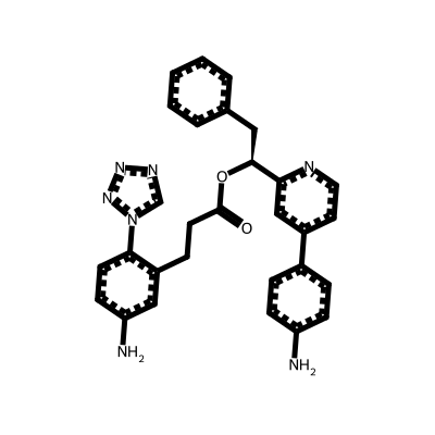 Nc1ccc(-c2ccnc([C@H](Cc3ccccc3)OC(=O)CCc3cc(N)ccc3-n3cnnn3)c2)cc1